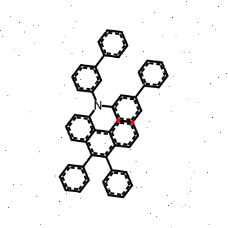 c1ccc(-c2cccc(N(c3cccc(-c4ccccc4)c3)c3cccc4c(-c5ccccc5)c(-c5ccccc5)c5ccccc5c34)c2)cc1